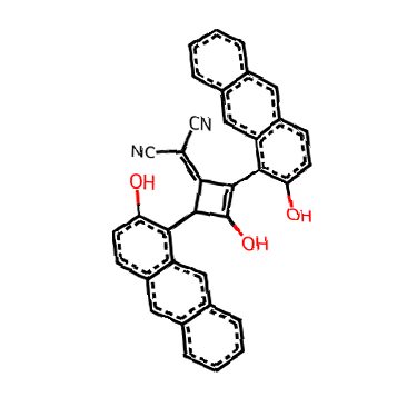 N#CC(C#N)=C1C(c2c(O)ccc3cc4ccccc4cc23)=C(O)C1c1c(O)ccc2cc3ccccc3cc12